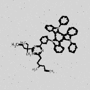 C=CCC(C)CCc1nc(-c2cccc(-n3c4ccccc4c4c5c(c6ccccc6n5-c5ccccc5)c5c(c6ccccc6n5-c5ccccc5)c43)c2)nc(C(C)(CC)CC=C)n1